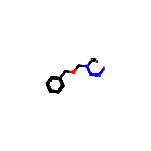 CN(COCc1ccccc1)/N=N\I